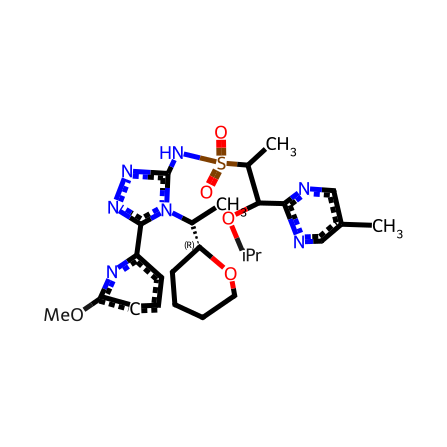 COc1cccc(-c2nnc(NS(=O)(=O)C(C)C(OC(C)C)c3ncc(C)cn3)n2C(C)[C@H]2CCCCO2)n1